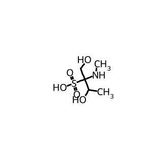 CNC(CO)(C(C)O)S(=O)(=O)O